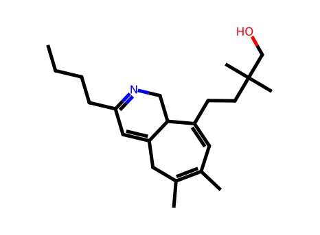 CCCCC1=NCC2C(CCC(C)(C)CO)=CC(C)=C(C)CC2=C1